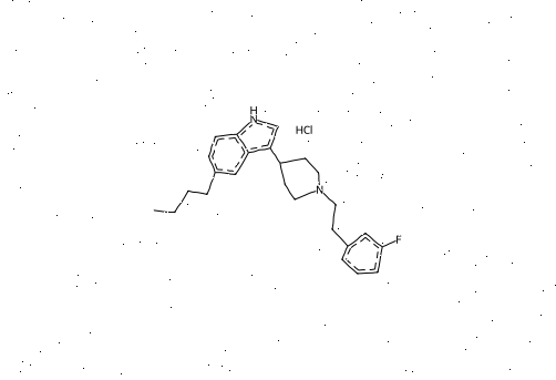 CCCCc1ccc2[nH]cc(C3CCN(CCc4cccc(F)c4)CC3)c2c1.Cl